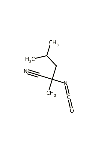 CC(C)CC(C)(C#N)N=C=O